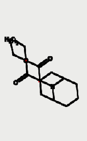 CCOC(=O)CN1C2CCCC1CC(C(=O)OCC)C2